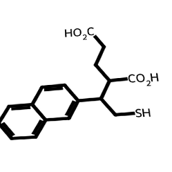 O=C(O)CCC(C(=O)O)C(CS)c1ccc2ccccc2c1